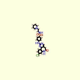 O=C1Cc2cnc(Nc3ccc(S(=O)(=O)NCCN4CCCCC4)cc3)nc2-c2ccc(Cl)cc2N1